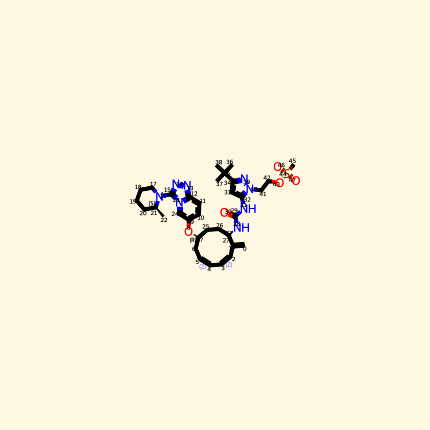 C=C1/C=C\C=C/C[C@H](Oc2ccc3nnc(N4CCCC[C@@H]4C)n3c2)CC[C@@H]1NC(=O)Nc1cc(C(C)(C)C)nn1CCOS(C)(=O)=O